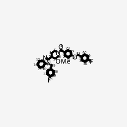 COc1cc(C(=O)N2CCC(c3nc4ccccc4n3Cc3ccc(F)cc3)CC2)ccc1OCc1ccc(F)cc1